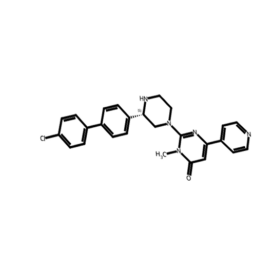 Cn1c(N2CCN[C@@H](c3ccc(-c4ccc(Cl)cc4)cc3)C2)nc(-c2ccncc2)cc1=O